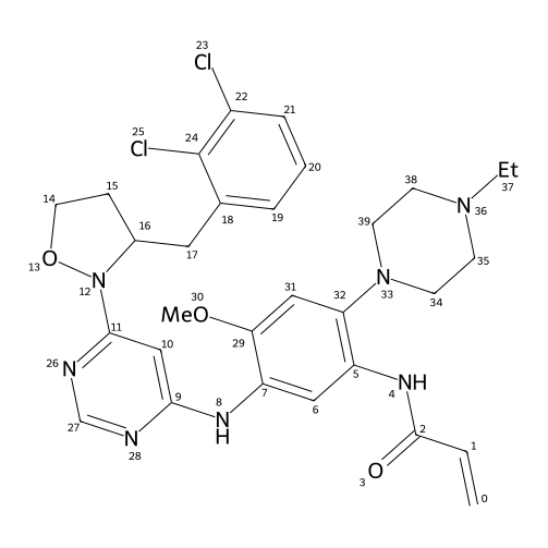 C=CC(=O)Nc1cc(Nc2cc(N3OCCC3Cc3cccc(Cl)c3Cl)ncn2)c(OC)cc1N1CCN(CC)CC1